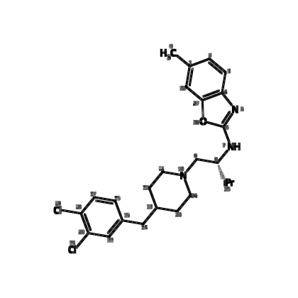 Cc1ccc2nc(N[C@@H](CN3CCC(Cc4ccc(Cl)c(Cl)c4)CC3)C(C)C)oc2c1